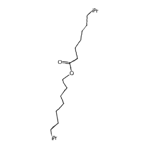 CC(C)CCCCCCCOC(=O)CCCCCCC(C)C